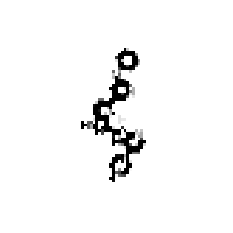 CN1CCN(c2ccnc3[nH]c(-c4n[nH]c5ccc(-c6cncc(OC7CCCCC7)c6)nc45)nc23)CC1